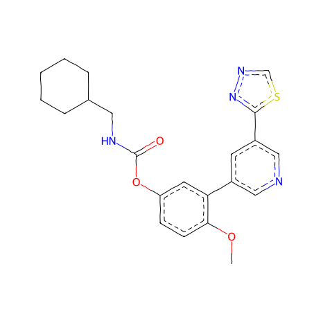 COc1ccc(OC(=O)NCC2CCCCC2)cc1-c1cncc(-c2nncs2)c1